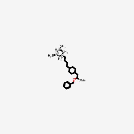 COC(CC1CCC(CCCC[SiH]([SiH2][SiH2][SiH3])[SiH2][SiH2][SiH3])CC1)OCc1ccccc1